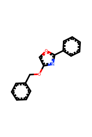 c1ccc(COc2coc(-c3ccccc3)n2)cc1